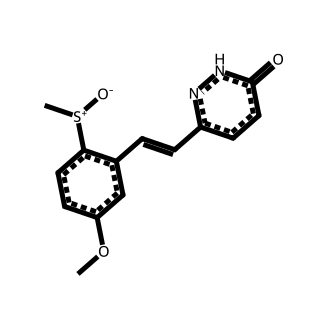 COc1ccc([S+](C)[O-])c(/C=C/c2ccc(=O)[nH]n2)c1